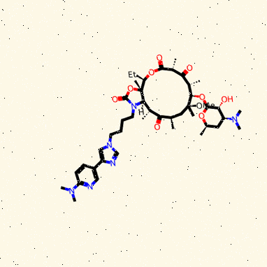 CC[C@H]1OC(=O)[C@H](C)C(=O)[C@H](C)[C@@H](OC2O[C@H](C)C[C@H](N(C)C)[C@H]2O)[C@@](C)(OC)C[C@@H](C)C(=O)[C@H](C)[C@H]2N(CCCCn3cnc(-c4ccc(N(C)C)nc4)c3)C(=O)O[C@]12C